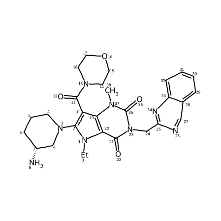 CCn1c(N2CCC[C@@H](N)C2)c(C(=O)N2CCOCC2)c2c1c(=O)n(Cc1ncc3ccccc3n1)c(=O)n2C